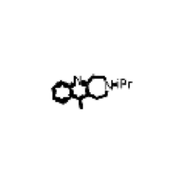 Cc1c2c(nc3ccccc13)CCN(C(C)C)CC2